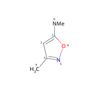 CNc1cc(C)no1